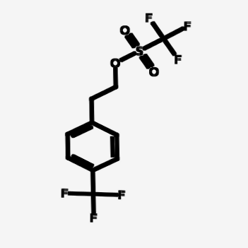 O=S(=O)(OCCc1ccc(C(F)(F)F)cc1)C(F)(F)F